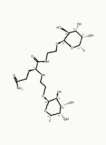 C[C@@H]1O[C@@H](OCCNC(=O)[C@H](CCC(N)=O)NCCO[C@@H]2O[C@@H](C)[C@@H](O)[C@@H](O)[C@@H]2O)[C@@H](O)[C@H](O)[C@@H]1O